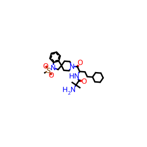 CC(C)(N)C(=O)NC(CCC1CCCCC1)C(=O)N1CCC2(CC1)CN(S(C)(=O)=O)c1ccccc12